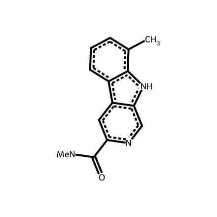 CNC(=O)c1cc2c(cn1)[nH]c1c(C)cccc12